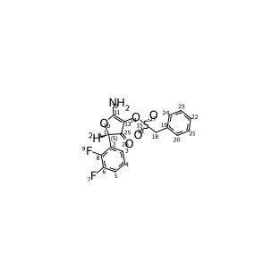 [2H][C@@]1(c2cccc(F)c2F)OC(N)=C(OS(=O)(=O)Cc2ccccc2)C1=O